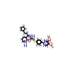 COc1cnc(-c2ccc(SCC(=O)NC(CCC3CCCC3)C3CCCNC3)cc2)nc1OC